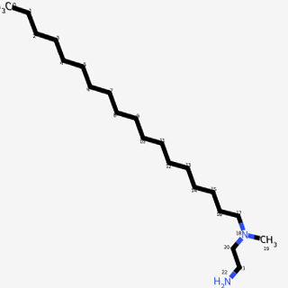 CCCCCCCCCCCCCCCCCCN(C)CCN